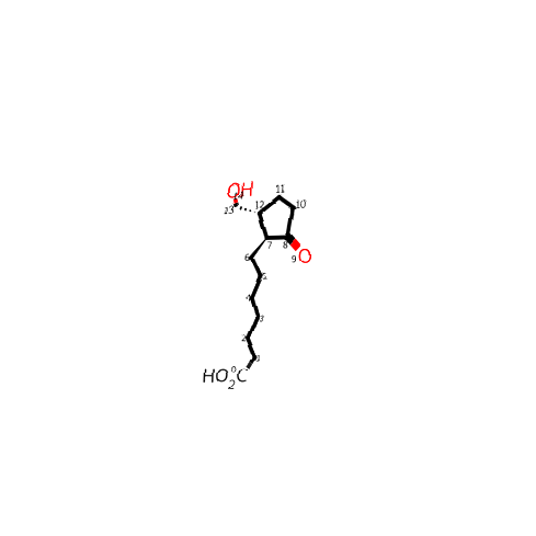 O=C(O)CCCCCC[C@@H]1C(=O)CC[C@H]1CO